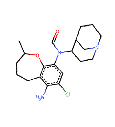 CC1CCCc2c(N)c(Cl)cc(N(C=O)C3CCN4CCCC3C4)c2O1